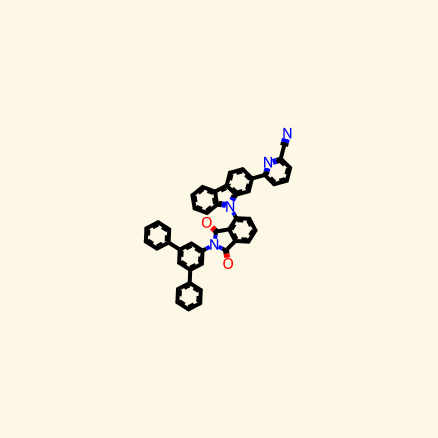 N#Cc1cccc(-c2ccc3c4ccccc4n(-c4cccc5c4C(=O)N(c4cc(-c6ccccc6)cc(-c6ccccc6)c4)C5=O)c3c2)n1